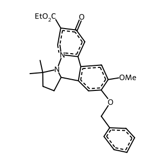 CCOC(=O)c1cn2c(cc1=O)-c1cc(OC)c(OCc3ccccc3)cc1C1CCC(C)(C)N12